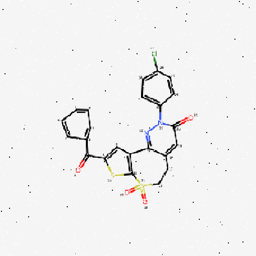 O=C(c1ccccc1)c1cc2c(s1)S(=O)(=O)CCc1cc(=O)n(-c3ccc(Cl)cc3)nc1-2